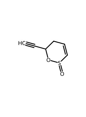 C#CC1CC=CS(=O)O1